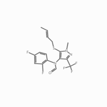 CC=CCSc1c(N(C=O)c2ccc(F)cc2F)c(C(F)(F)F)nn1C